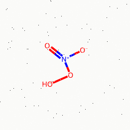 O=[N+]([O-])OO